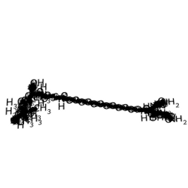 CCCC(=O)OCN(C(=O)[C@@H](NC(=O)[C@H]1CCCCN1C)C(C)CC)[C@H](C[C@@H](OC(C)=O)c1nc(C(=O)N[C@@H](Cc2ccc(O)cc2)C[C@H](C)C(=O)NNC(=O)OCCSSCCNC(=O)CCOCCOCCOCCOCCOCCOCCOCCOCCOCCOCCOCCOCCNC(=O)CN(CCN(CC(=O)O)CC(=O)Nc2ccc(S(N)(=O)=O)cc2)CC(=O)Nc2ccc(S(N)(=O)=O)cc2)cs1)C(C)C